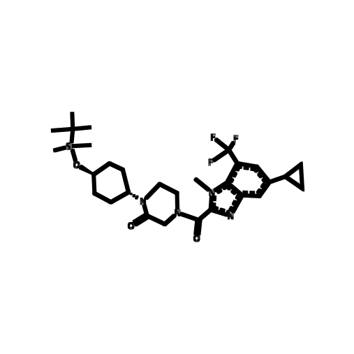 Cn1c(C(=O)N2CCN([C@H]3CC[C@H](O[Si](C)(C)C(C)(C)C)CC3)C(=O)C2)nc2cc(C3CC3)cc(C(F)(F)F)c21